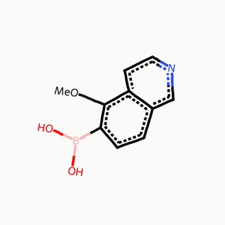 COc1c(B(O)O)ccc2cnccc12